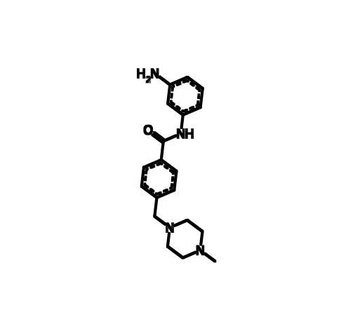 CN1CCN(Cc2ccc(C(=O)Nc3cccc(N)c3)cc2)CC1